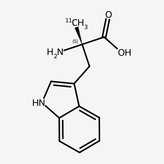 [11CH3][C@](N)(Cc1c[nH]c2ccccc12)C(=O)O